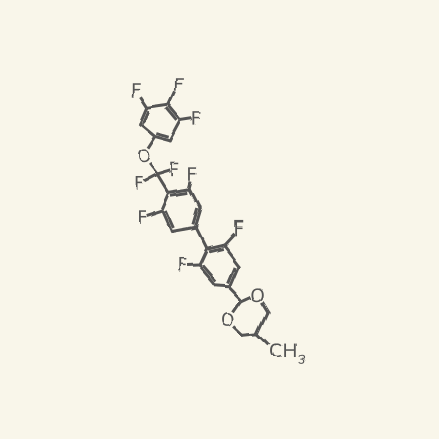 CC1COC(c2cc(F)c(-c3cc(F)c(C(F)(F)Oc4cc(F)c(F)c(F)c4)c(F)c3)c(F)c2)OC1